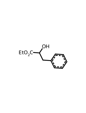 CCOC(=O)C(O)Cc1ccccc1